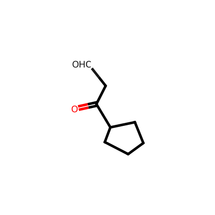 O=CCC(=O)C1CCCC1